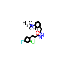 CN(C)c1cccc(Cc2nnc(C=Cc3ccc(F)cc3Cl)o2)c1